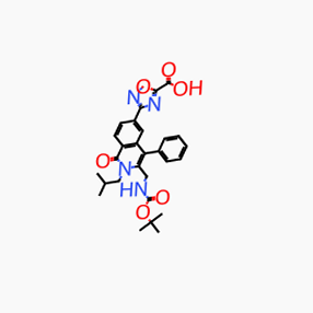 CC(C)Cn1c(CNC(=O)OC(C)(C)C)c(-c2ccccc2)c2cc(-c3noc(C(=O)O)n3)ccc2c1=O